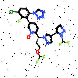 [O-][n+]1cc(-c2c(-n3cnnn3)ccc(Cl)c2F)ccc1[C@@H](CCOC(F)F)n1cc(-c2ccnn2C(F)F)cn1